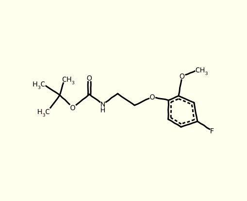 COc1cc(F)ccc1OCCNC(=O)OC(C)(C)C